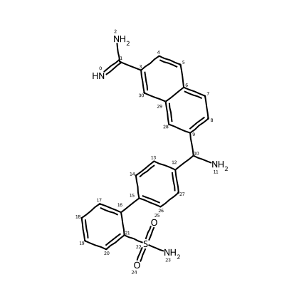 N=C(N)c1ccc2ccc(C(N)c3ccc(-c4ccccc4S(N)(=O)=O)cc3)cc2c1